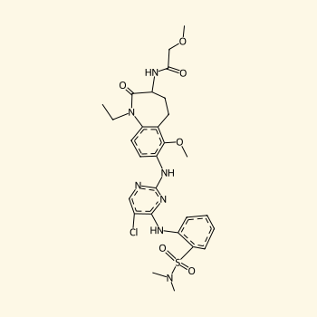 CCN1C(=O)C(NC(=O)COC)CCc2c1ccc(Nc1ncc(Cl)c(Nc3ccccc3S(=O)(=O)N(C)C)n1)c2OC